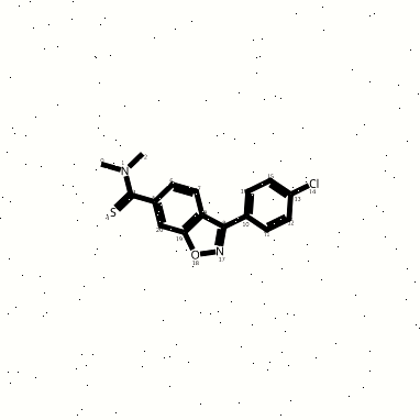 CN(C)C(=S)c1ccc2c(-c3ccc(Cl)cc3)noc2c1